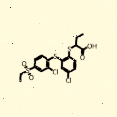 CCC(Sc1ccc(Cl)cc1Sc1ccc(S(=O)(=O)CC)cc1Cl)C(=O)O